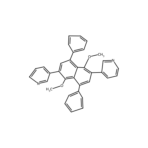 COc1c(-c2cccnc2)cc(-c2ccccc2)c2c(OC)c(-c3cccnc3)cc(-c3ccccc3)c12